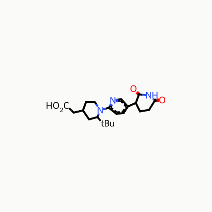 CC(C)(C)C1CC(CC(=O)O)CCN1c1ccc(C2CCC(=O)NC2=O)cn1